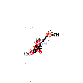 CP(OCCC#N)OCCCCCCNC(=O)c1ccc2c(c1)C1(OC2=O)c2ccc(OC(=O)C(C)(C)C)cc2Oc2cc(OC(=O)C(C)(C)C)ccc21